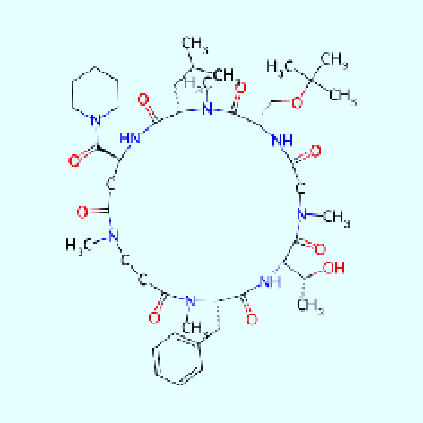 CC(C)C[C@H]1C(=O)N[C@H](C(=O)N2CCCCC2)CC(=O)N(C)CCC(=O)N(C)[C@@H](Cc2ccccc2)C(=O)N[C@@H]([C@@H](C)O)C(=O)N(C)CC(=O)N[C@@H](COC(C)(C)C)C(=O)N1C